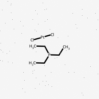 CCP(CC)CC.[Cl][Pt][Cl]